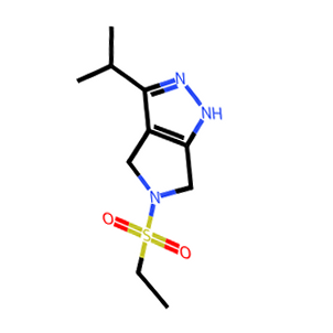 CCS(=O)(=O)N1Cc2[nH]nc(C(C)C)c2C1